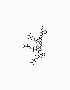 CCCC(=O)OCC(COCC(COC(=O)C(C)(CC)CCC(C)(C)C(C)C)OC(=O)C(C)(C)CCC(C)(C)C(C)C)OC(=O)C(C)(C)CC(C)(C)C(C)C